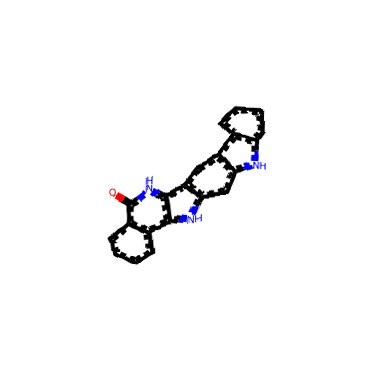 O=c1[nH]c2c3cc4c(cc3[nH]c2c2ccccc12)[nH]c1ccccc14